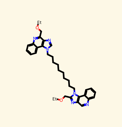 CCOCc1nc2ccccc2c2c1ncn2CCCCCCCCCCn1c(COCC)nc2cnc3ccccc3c21